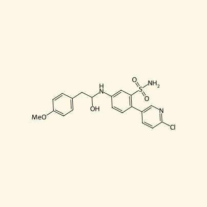 COc1ccc(CC(O)Nc2ccc(-c3ccc(Cl)nc3)c(S(N)(=O)=O)c2)cc1